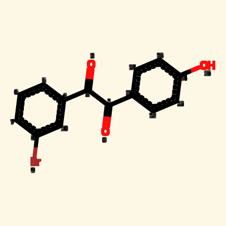 O=C(C(=O)c1cccc(Br)c1)c1ccc(O)cc1